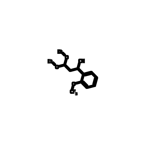 CCOC(CC(C#N)c1ccccc1OC(F)(F)F)OCC